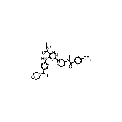 NC(=O)c1nnc(N2CCCC(NC(=O)c3ccc(C(F)(F)F)cc3)C2)nc1Nc1ccc(C(=O)N2CCOCC2)cc1